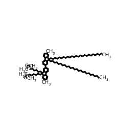 CCCCCCCCCCCCCCCCCCCCCCCCCCC1(CCCCCCCCCCCCCCCCCCCCCCCCCC)c2cc(C)ccc2-c2ccc(-c3ccc4c(c3)C(CCCCCCP(C)(C)=O)(CCCCCCP(C)(C)=O)c3cc(C)ccc3-4)cc21